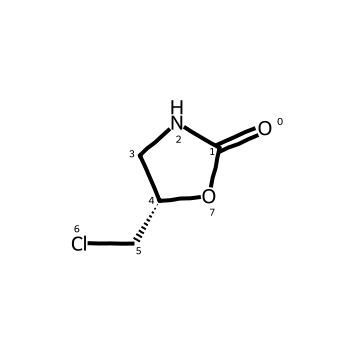 O=C1NC[C@@H](CCl)O1